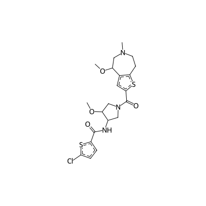 COC1CN(C)CCc2sc(C(=O)N3CC(NC(=O)c4ccc(Cl)s4)C(OC)C3)cc21